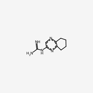 N=C(N)Nc1cnc2c(n1)CCCC2